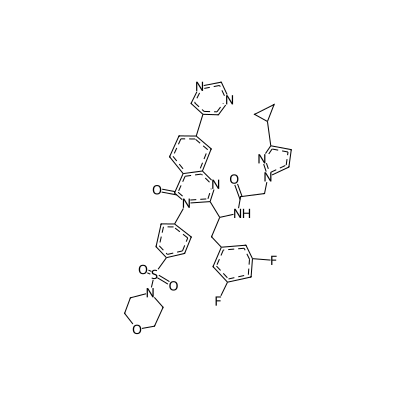 O=C(Cn1ccc(C2CC2)n1)NC(Cc1cc(F)cc(F)c1)c1nc2cc(-c3cncnc3)ccc2c(=O)n1-c1ccc(S(=O)(=O)N2CCOCC2)cc1